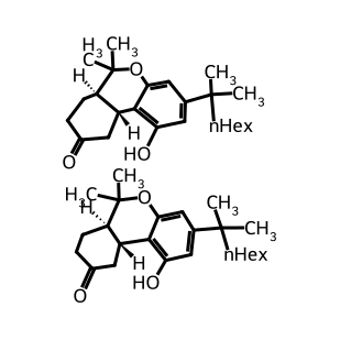 CCCCCCC(C)(C)c1cc(O)c2c(c1)OC(C)(C)[C@@H]1CCC(=O)C[C@@H]21.CCCCCCC(C)(C)c1cc(O)c2c(c1)OC(C)(C)[C@@H]1CCC(=O)C[C@@H]21